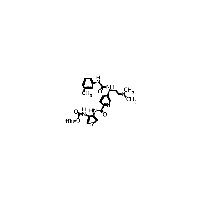 Cc1cccc(NC(=O)NC(CCN(C)C)c2ccc(C(=O)Nc3cscc3NC(=O)OC(C)(C)C)nc2)c1